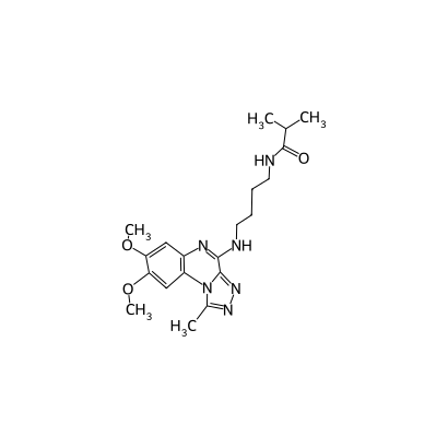 COc1cc2nc(NCCCCNC(=O)C(C)C)c3nnc(C)n3c2cc1OC